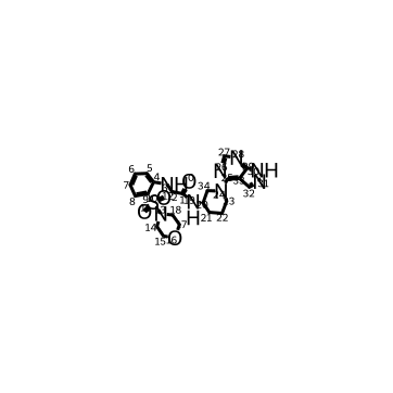 O=C(CNc1ccccc1S(=O)(=O)N1CCOCC1)N[C@@H]1CCCN(c2ncnc3[nH]ncc23)C1